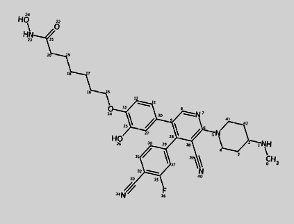 CNC1CCN(c2ncc(-c3ccc(OCCCCCCC(=O)NO)c(O)c3)c(-c3ccc(C#N)c(F)c3)c2C#N)CC1